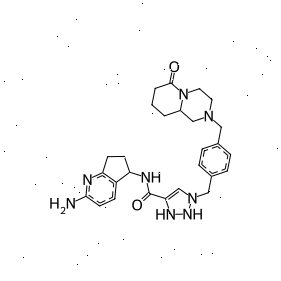 Nc1ccc2c(n1)CCC2NC(=O)C1=CN(Cc2ccc(CN3CCN4C(=O)CCCC4C3)cc2)NN1